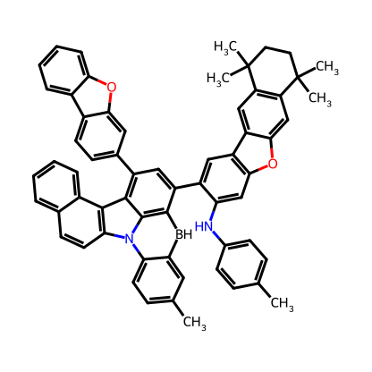 Cc1ccc(Nc2cc3oc4cc5c(cc4c3cc2-c2cc(-c3ccc4c(c3)oc3ccccc34)c3c4c6ccccc6ccc4n4c3c2Bc2cc(C)ccc2-4)C(C)(C)CCC5(C)C)cc1